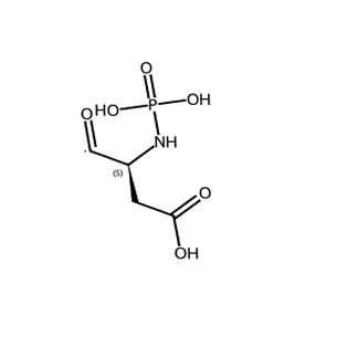 O=[C][C@H](CC(=O)O)NP(=O)(O)O